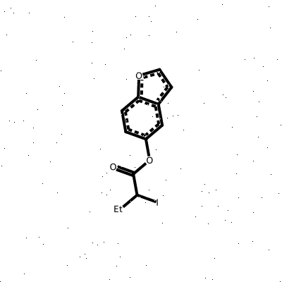 CCC(I)C(=O)Oc1ccc2occc2c1